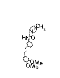 COc1ccc(CCCc2cccc(NC(=O)CN3CCN(C)CC3)c2)cc1OC